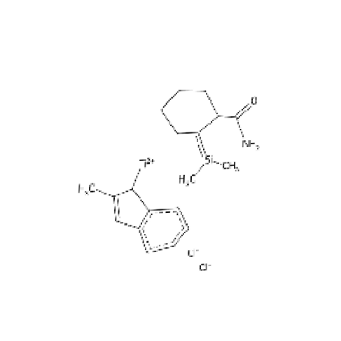 CC1=Cc2ccccc2[CH]1[Ti+2].C[Si](C)=C1CCCCC1C(N)=O.[Cl-].[Cl-]